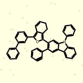 c1cccc(-c2cc3c4ccccc4n(-c4ccccc4)c3cc2-c2oc(-c3cccc(-c4ccccc4)c3)c3c2CCC=C3)c#1